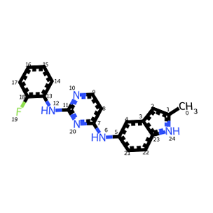 Cc1cc2cc(Nc3ccnc(Nc4ccccc4F)n3)ccc2[nH]1